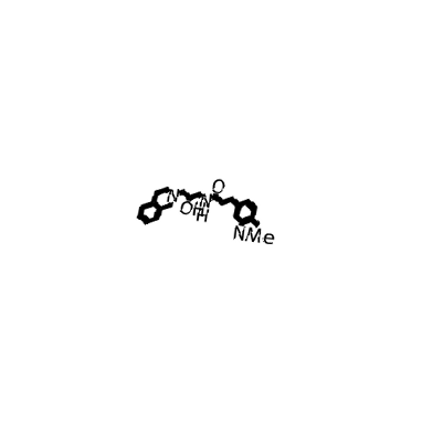 CNc1cc(CCC(=O)NCC(O)CN2CCc3ccccc3C2)ccc1C